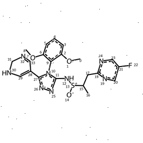 COc1cccc(OC)c1-n1c(N[S+]([O-])C(C)Cc2ncc(F)cn2)nnc1C1=CNCN=C1